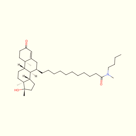 CCCCN(C)C(=O)CCCCCCCCCC[C@@H]1CC2=CC(=O)CC[C@]2(C)[C@H]2CC[C@@]3(C)[C@@H](CC[C@]3(C)O)[C@H]12